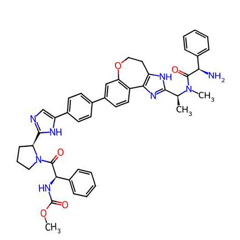 COC(=O)N[C@@H](C(=O)N1CCC[C@H]1c1ncc(-c2ccc(-c3ccc4c(c3)OCCc3[nH]c([C@H](C)N(C)C(=O)[C@H](N)c5ccccc5)nc3-4)cc2)[nH]1)c1ccccc1